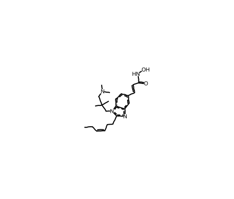 CC/C=C\CCc1nc2cc(/C=C/C(=O)NO)ccc2n1CC(C)(C)CN(C)C